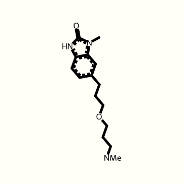 CNCCCOCCCc1ccc2[nH]c(=O)n(C)c2c1